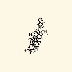 CCC[C@@]1(O)CC[C@H]2[C@H](CC[C@@H]3[C@@H]2C(=O)C[C@@]2(C)[C@H]3CC[C@]2(O)[C@@H](C)Cn2cc(C#N)cn2)C1